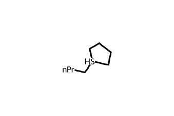 CCCC[SH]1CCCC1